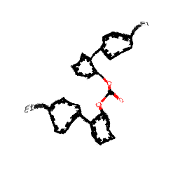 CCc1ccc(-c2ccccc2OC(=O)Oc2ccccc2-c2ccc(CC)cc2)cc1